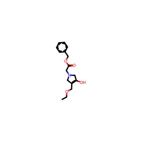 CCOCC1=C(O)CN(CC(=O)OCc2ccccc2)C1